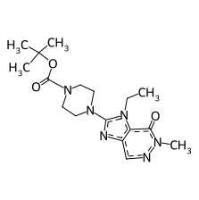 CCn1c(N2CCN(C(=O)OC(C)(C)C)CC2)nc2cnn(C)c(=O)c21